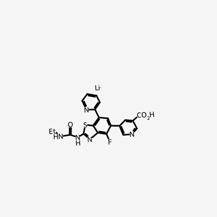 CCNC(=O)Nc1nc2c(F)c(-c3cncc(C(=O)O)c3)cc(-c3ccccn3)c2s1.[Li]